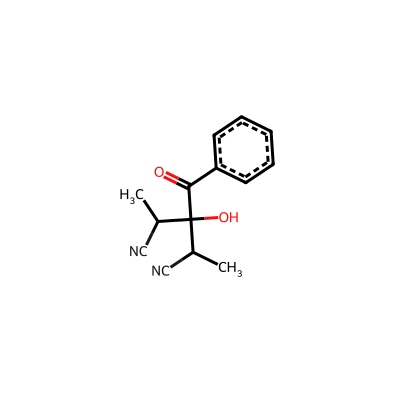 CC(C#N)C(O)(C(=O)c1ccccc1)C(C)C#N